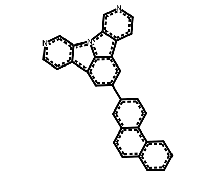 c1ccc2c(c1)ccc1cc(-c3cc4c5ccncc5n5c6cnccc6c(c3)c45)ccc12